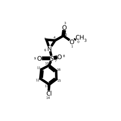 COC(=O)C1CN1S(=O)(=O)c1ccc(Cl)cc1